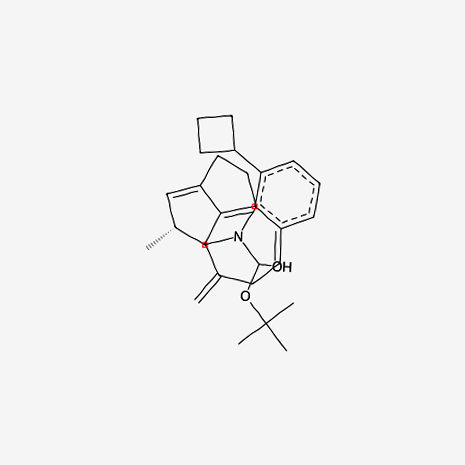 C=C1CC=c2cccc(C3CCC3)c2=C(/C2=C\[C@@H](C)CN(C(O)OC(C)(C)C)CCC2)C1